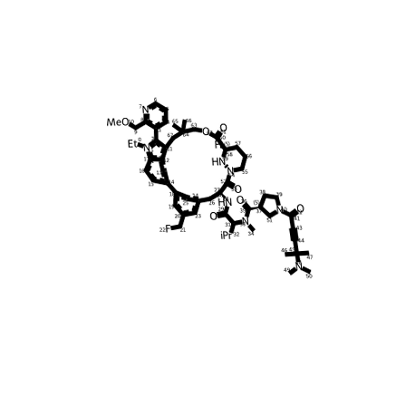 CCn1c(-c2cccnc2COC)c2c3cc(ccc31)-c1cc(CF)cc(c1)C[C@H](NC(=O)C(C(C)C)N(C)C(=O)[C@H]1CCN(C(=O)C#CC(C)(C)N(C)C)C1)C(=O)N1CCC[C@H](N1)C(=O)OCC(C)(C)C2